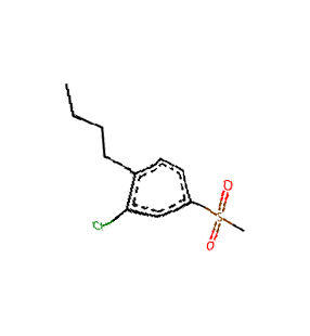 CCCCc1ccc(S(C)(=O)=O)cc1Cl